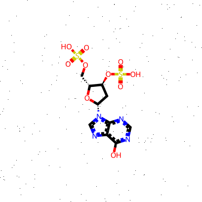 O=S(=O)(O)OC[C@H]1O[C@@H](n2cnc3c(O)ncnc32)C[C@@H]1OS(=O)(=O)O